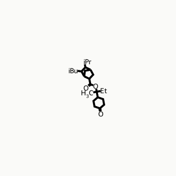 CCC(C)C1C2CC(CC2C(=O)OC(C)(CC)C2CCC(=O)CC2)C1C(C)C